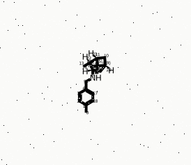 Cc1ccc(CN[C@H]2C[C@H]3C[C@@H]([C@@H]2C)C3(C)C)cc1